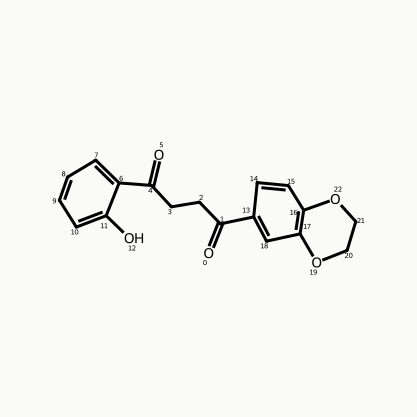 O=C(CCC(=O)c1ccccc1O)c1ccc2c(c1)OCCO2